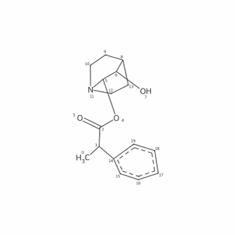 CC(C(=O)OC1C(O)C2CCN1CC2)c1ccccc1